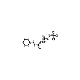 O=C(CCC1CCCCC1)ONC(=O)OCC(Cl)(Cl)Cl